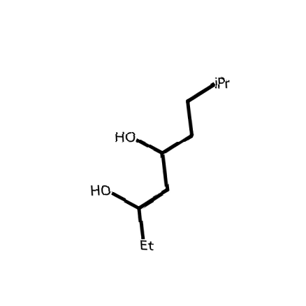 CCC(O)CC(O)CCC(C)C